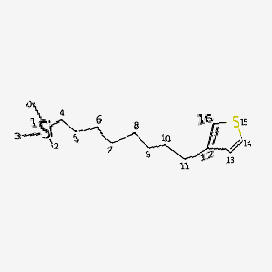 C[Si](C)(C)CCCCCCCCc1ccsc1